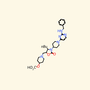 CCCCC1C(CN2CCC(OC(=O)O)CC2)OC(=O)N1C1CCN(c2ccnc(NCc3ccccc3)n2)CC1